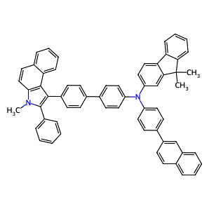 Cn1c(-c2ccccc2)c(-c2ccc(-c3ccc(N(c4ccc(-c5ccc6ccccc6c5)cc4)c4ccc5c(c4)C(C)(C)c4ccccc4-5)cc3)cc2)c2c3ccccc3ccc21